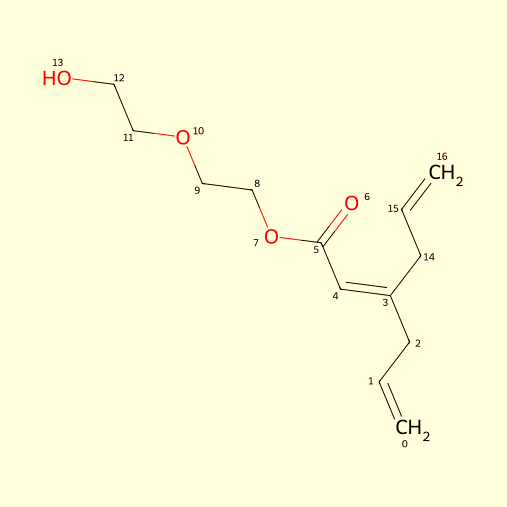 C=CCC(=CC(=O)OCCOCCO)CC=C